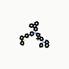 CC1(C)c2cc(N(c3ccc(-c4ccc(-c5cccc6c5sc5ccccc56)cc4)cc3)c3ccc4c5ccccc5c5ccccc5c4c3)ccc2-c2ccc(N(c3ccccc3)c3cccc4ccccc34)cc21